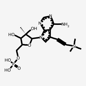 C[C@@]1(O)C(O)C(COP(=O)(O)O)OC1n1cc(C#C[Si](C)(C)C)c2c(N)ncnc21